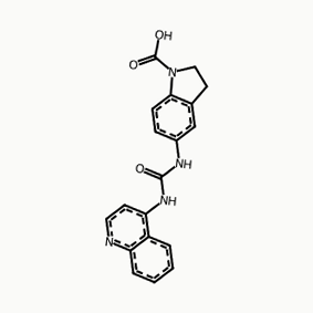 O=C(Nc1ccc2c(c1)CCN2C(=O)O)Nc1ccnc2ccccc12